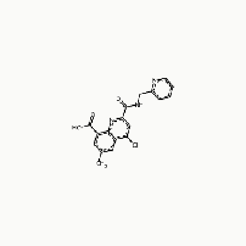 Cc1cc(C(=O)O)c2nc(C(=O)NCc3ccccn3)cc(Cl)c2c1